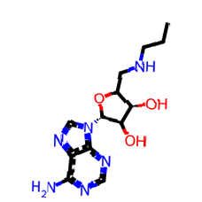 CCCNCC1O[C@@H](n2cnc3c(N)ncnc32)C(O)[C@@H]1O